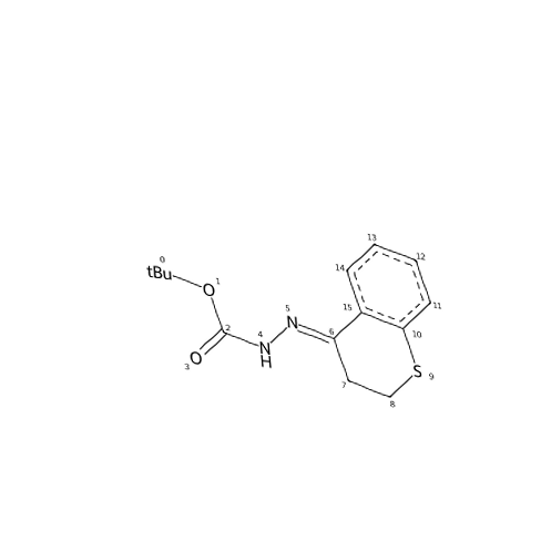 CC(C)(C)OC(=O)NN=C1CCSc2ccccc21